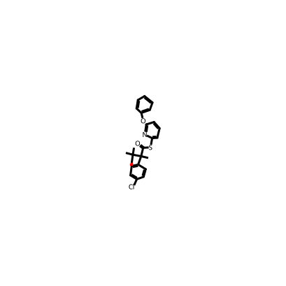 CC(C)(C)C(C)(C(=O)Sc1cccc(Oc2ccccc2)n1)c1ccc(Cl)cc1